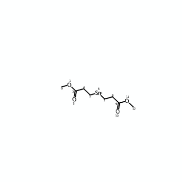 COC(=O)C[CH2][Sn][CH2]CC(=O)OC